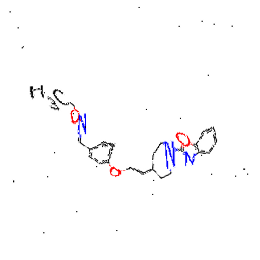 CCON=Cc1ccc(OCCC2CCN(c3nc4ccccc4o3)CC2)cc1